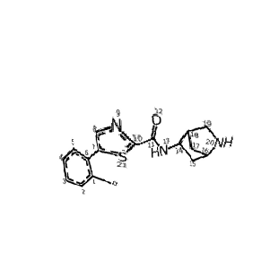 Cc1ccccc1-c1cnc(C(=O)NC2CC3CC2CN3)s1